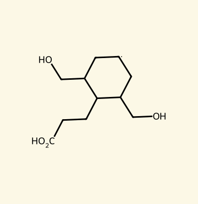 O=C(O)CCC1C(CO)C[CH]CC1CO